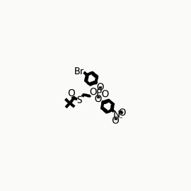 CC(C)(C)C(=O)SCCOP(=O)(Oc1ccc(Br)cc1)Oc1ccc([N+](=O)[O-])cc1